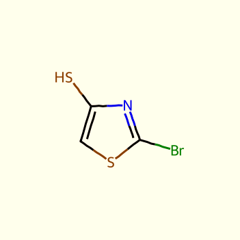 Sc1csc(Br)n1